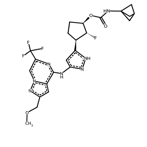 COCc1cc2c(Nc3cc([C@H]4CC[C@@H](OC(=O)NC56CC(C5)C6)[C@@H]4F)[nH]n3)nc(C(F)(F)F)cn2n1